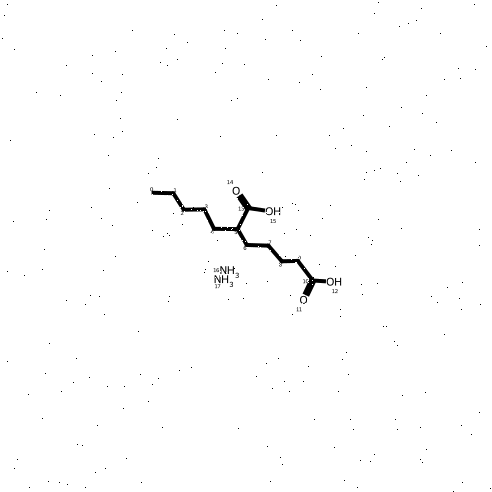 CCCCCC(CCCCC(=O)O)C(=O)O.N.N